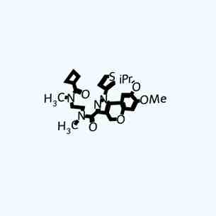 COc1cc2c(cc1OC(C)C)-c1c(c(C(=O)N(C)CCN(C)C(=O)C3CCC3)nn1-c1ccsc1)CO2